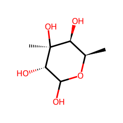 C[C@H]1OC(O)[C@H](O)[C@@](C)(O)[C@H]1O